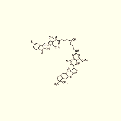 COc1nc(NCCCN(C)CCCNC(=O)c2c(C)[nH]c(/C=C3/c4cc(F)ccc4NC3O)c2C)nc(OC)c1NC(=O)c1ccc(Oc2cc3c(cc2C)CCC3(C)C)o1